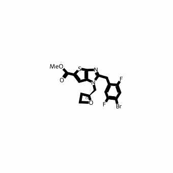 COC(=O)c1cc2c(nc(Cc3cc(F)c(Br)cc3F)n2C[C@@H]2CCO2)s1